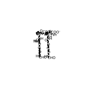 CC(C)[C@H](NC(=O)[C@@H]1CCCN1CCNC(=O)CCOCCOCCOCCNC=O)C(=O)[O-].CC(C)[C@H](NC(=O)[C@@H]1CCCN1CCNC(=O)CCOCCOCCOCCNC=O)C(=O)[O-].[Na+].[Na+]